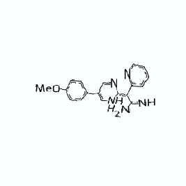 COc1ccc(C2=CN/C(=C(\C(=N)N)c3ccccn3)N=C2)cc1